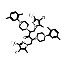 Cc1ccc(C)c(N2CCN(C(Cn3nc(C(F)(F)F)c(Cl)c3C)C(=O)C(Cn3nc(C(F)(F)F)c(Cl)c3C)N3CCN(c4cc(C)ccc4C)CC3)CC2)c1